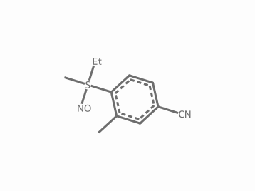 CCS(C)(N=O)c1ccc(C#N)cc1C